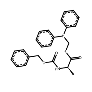 C[C@@H](NC(=O)OCc1ccccc1)C(=O)SCP(c1ccccc1)c1ccccc1